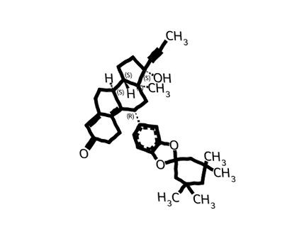 CC#C[C@]1(O)CC[C@H]2[C@@H]3CCC4=CC(=O)CCC4=C3[C@@H](c3ccc4c(c3)OC3(CC(C)(C)CC(C)(C)C3)O4)C[C@@]21C